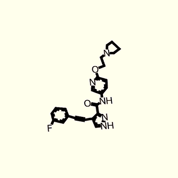 O=C(Nc1ccc(OCCN2CCCC2)nc1)c1n[nH]cc1C#Cc1cccc(F)c1